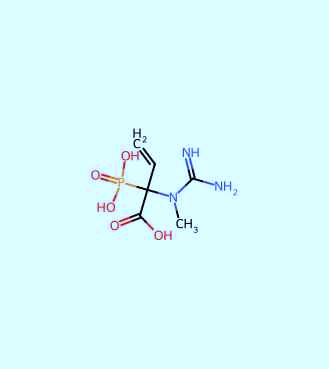 C=CC(C(=O)O)(N(C)C(=N)N)P(=O)(O)O